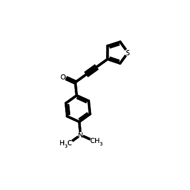 CN(C)c1ccc(C(=O)C#Cc2ccsc2)cc1